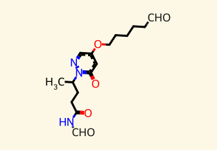 CC(CCC(=O)NC=O)n1ncc(OCCCCCC=O)cc1=O